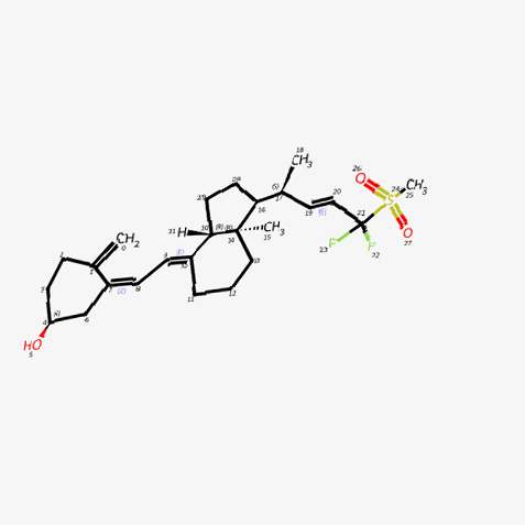 C=C1CC[C@H](O)C/C1=C/C=C1\CCC[C@]2(C)C([C@@H](C)/C=C/C(F)(F)S(C)(=O)=O)CC[C@@H]12